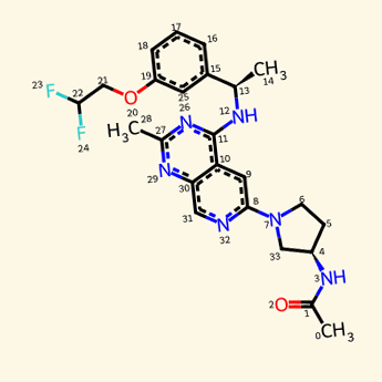 CC(=O)N[C@@H]1CCN(c2cc3c(N[C@H](C)c4cccc(OCC(F)F)c4)nc(C)nc3cn2)C1